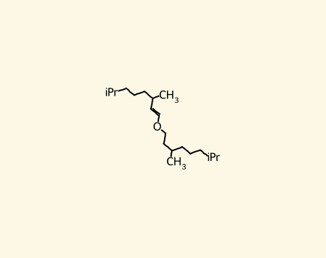 CC(C)CCCC(C)C=COCCC(C)CCCC(C)C